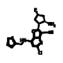 C#Cc1c([C@H]2C[C@@H](F)C[C@@H]2N)oc2c(NCc3cccs3)cc(Cl)nc12